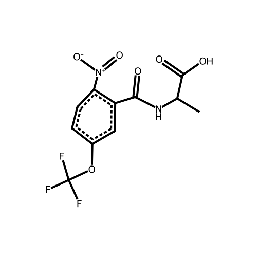 CC(NC(=O)c1cc(OC(F)(F)F)ccc1[N+](=O)[O-])C(=O)O